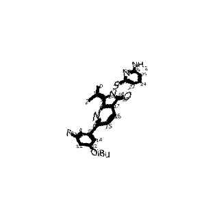 CC(C)=C1c2nc(-c3cc(F)cc(OCC(C)C)c3)ccc2C(=O)N1Sc1cccc(N)n1